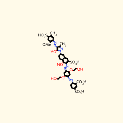 COc1cc(S(=O)(=O)O)c(C)cc1/N=N/c1c(C)nn(-c2ccc3c(O)c(/N=N/c4cc(OCCO)c(/N=N/c5ccc(S(=O)(=O)O)cc5C(=O)O)cc4OCCO)c(S(=O)(=O)O)cc3c2)c1O